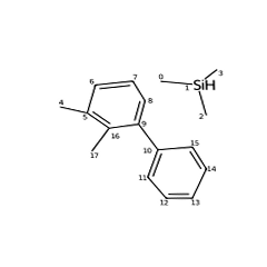 C[SiH](C)C.Cc1cccc(-c2ccccc2)c1C